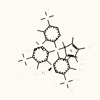 CC1=C(C)C(C)([Si](c2ccc([Si](C)(C)C)c(C)c2[Si](C)(C)C)(c2ccc([Si](C)(C)C)c(C)c2[Si](C)(C)C)c2ccc([Si](C)(C)C)c(C)c2[Si](C)(C)C)[C]([Ti+3])=C1C.[Cl-].[Cl-].[Cl-]